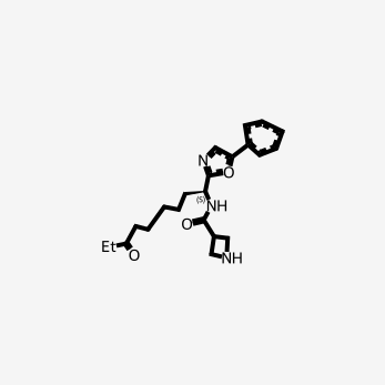 CCC(=O)CCCCC[C@H](NC(=O)C1CNC1)c1ncc(-c2ccccc2)o1